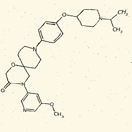 COc1cncc(N2CC3(CCN(c4ccc(OC5CCN(C(C)C)CC5)cc4)CC3)OCC2=O)c1